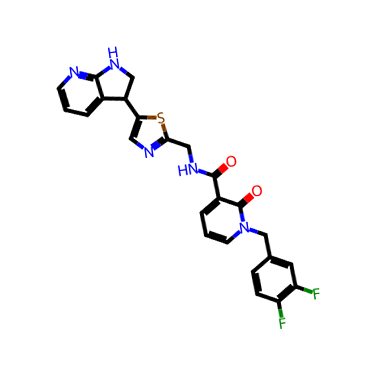 O=C(NCc1ncc(C2CNc3ncccc32)s1)c1cccn(Cc2ccc(F)c(F)c2)c1=O